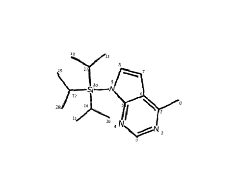 Cc1ncnc2c1ccn2[Si](C(C)C)(C(C)C)C(C)C